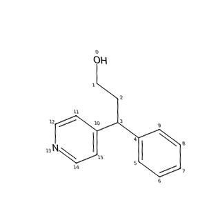 OCCC(c1ccccc1)c1ccncc1